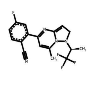 CC1=CC(c2cc(F)ccc2C#N)=NC2=CCN([C@@H](C)C(F)(F)F)N12